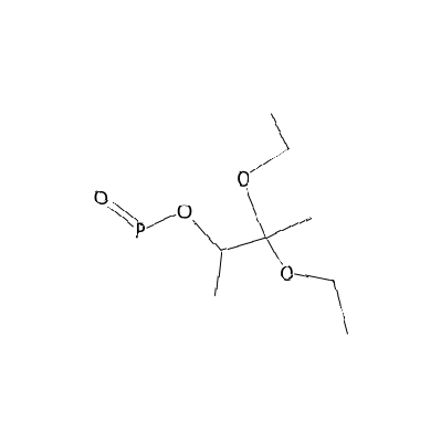 CCOC(C)(OCC)C(C)OP=O